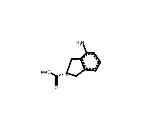 COC(=O)[C@H]1Cc2cccc(N)c2C1